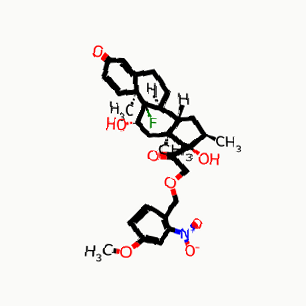 COc1ccc(COCC(=O)[C@@]2(O)[C@H](C)C[C@H]3[C@@H]4CCC5=CC(=O)C=C[C@]5(C)[C@@]4(F)[C@@H](O)C[C@@]32C)c([N+](=O)[O-])c1